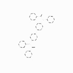 Cc1cccc(C(=O)N(c2ccccc2)c2ccc(-c3ccc(N(C(=O)c4cccc(C)c4)c4ccccc4)cc3)cc2)c1